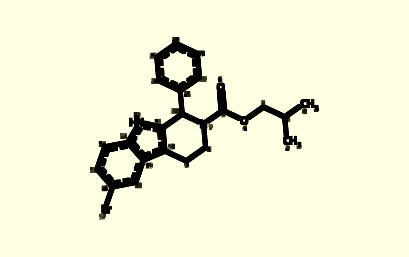 CC(C)COC(=O)N1CCc2c([nH]c3ccc(Br)cc23)C1c1ccccc1